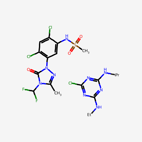 CCNc1nc(Cl)nc(NC(C)C)n1.Cc1nn(-c2cc(NS(C)(=O)=O)c(Cl)cc2Cl)c(=O)n1C(F)F